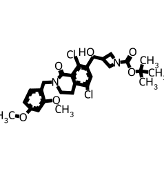 COc1ccc(CN2CCc3c(Cl)cc(C(O)C4CN(C(=O)OC(C)(C)C)C4)c(Cl)c3C2=O)c(OC)c1